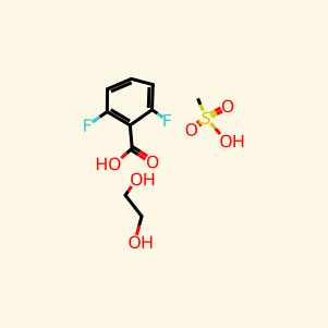 CS(=O)(=O)O.O=C(O)c1c(F)cccc1F.OCCO